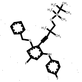 CC(C)(C#Cc1c(Nc2ccc(F)cc2)cc(F)cc1OCc1ccccc1)CO[Si](C)(C)C(C)(C)C